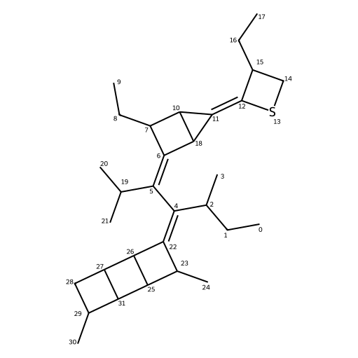 CCC(C)C(/C(=C1/C(CC)C2/C(=C3/SCC3CC)C12)C(C)C)=C1\C(C)C2C1C1CC(C)C12